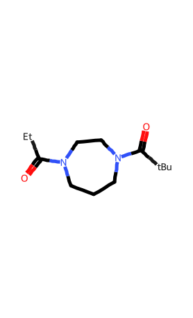 CCC(=O)N1CCCN(C(=O)C(C)(C)C)CC1